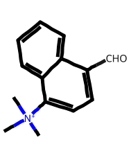 C[N+](C)(C)c1ccc(C=O)c2ccccc12